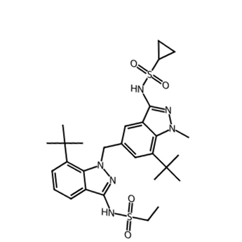 CCS(=O)(=O)Nc1nn(Cc2cc(C(C)(C)C)c3c(c2)c(NS(=O)(=O)C2CC2)nn3C)c2c(C(C)(C)C)cccc12